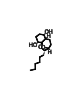 CCCCCC[C@@H]1OC23O[C@@H]1CC[C@@H]2[C@@H](O)CC[C@H]3O